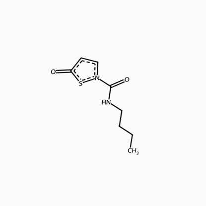 CCCCNC(=O)n1ccc(=O)s1